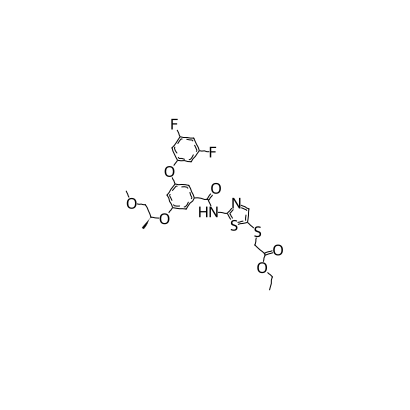 CCOC(=O)CSc1cnc(NC(=O)c2cc(Oc3cc(F)cc(F)c3)cc(O[C@@H](C)COC)c2)s1